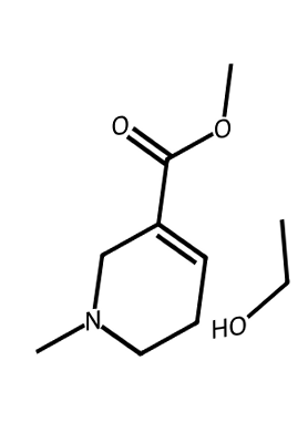 CCO.COC(=O)C1=CCCN(C)C1